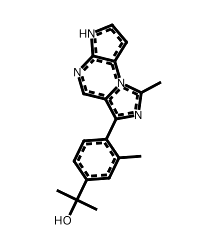 Cc1cc(C(C)(C)O)ccc1-c1nc(C)n2c1cnc1[nH]ccc12